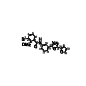 COc1c(Br)cccc1C(=O)Nc1cccc(-c2nnc(-c3ccco3)o2)c1